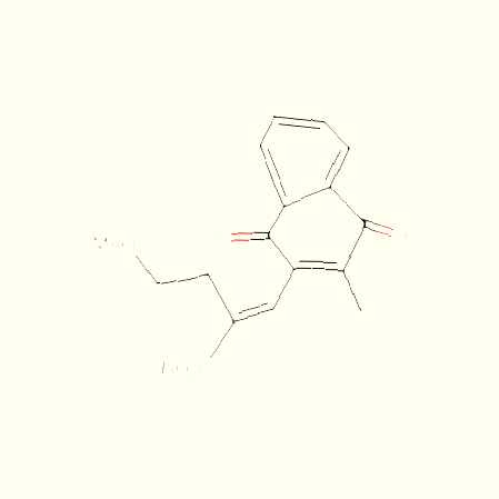 COCCC(=CC1=C(C)C(=O)c2ccccc2C1=O)C(=O)O